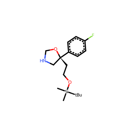 CC(C)(C)[Si](C)(C)OCC[C@@]1(c2ccc(F)cc2)CNCO1